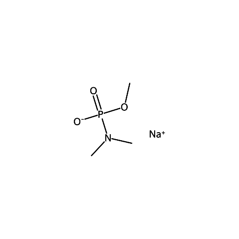 COP(=O)([O-])N(C)C.[Na+]